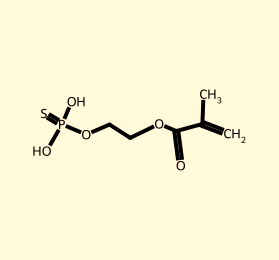 C=C(C)C(=O)OCCOP(O)(O)=S